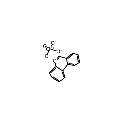 [O-][Cl+3]([O-])([O-])[O-].c1ccc2c(c1)c[o+]c1ccccc12